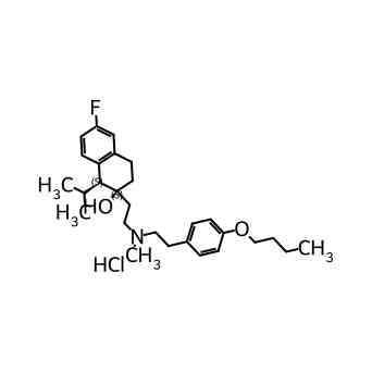 CCCCOc1ccc(CCN(C)CC[C@@]2(O)CCc3cc(F)ccc3[C@@H]2C(C)C)cc1.Cl